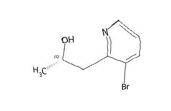 C[C@H](O)Cc1ncccc1Br